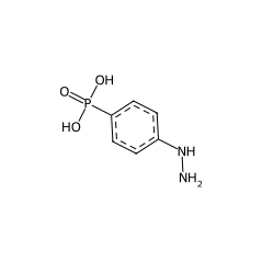 NNc1ccc(P(=O)(O)O)cc1